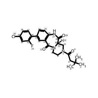 CC(C)(C)CC(=O)N1CCN2C(=O)c3cc(-c4ccc(Cl)cc4F)ccc3NC(=O)[C@@H]2C1